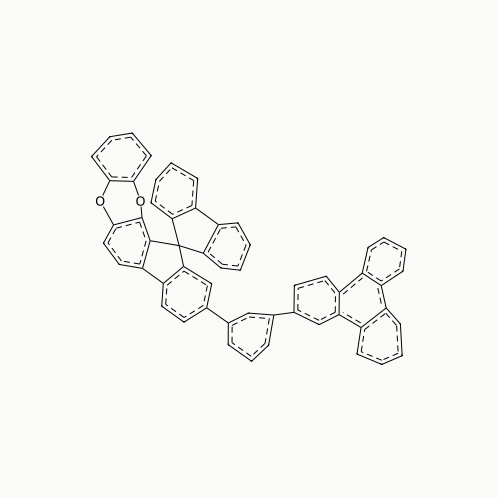 c1cc(-c2ccc3c(c2)C2(c4ccccc4-c4ccccc42)c2c-3ccc3c2Oc2ccccc2O3)cc(-c2ccc3c4ccccc4c4ccccc4c3c2)c1